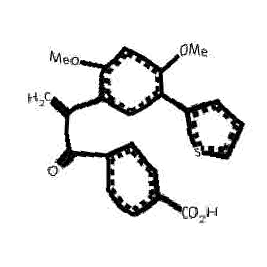 C=C(C(=O)c1ccc(C(=O)O)cc1)c1cc(-c2cccs2)c(OC)cc1OC